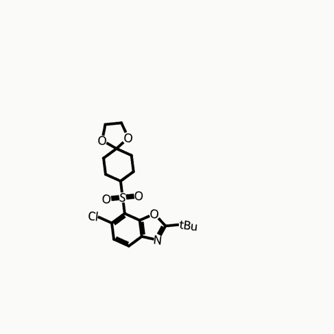 CC(C)(C)c1nc2ccc(Cl)c(S(=O)(=O)C3CCC4(CC3)OCCO4)c2o1